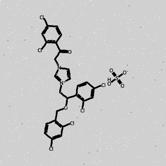 O=C(Cn1cc[n+](CC(OCc2ccc(Cl)cc2Cl)c2ccc(Cl)cc2Cl)c1)c1ccc(Cl)cc1Cl.O=S(=O)([O-])O